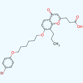 CCCc1c(OCCCCCCOc2ccc(Br)cc2)ccc2c(=O)cc(CCC(=O)O)oc12